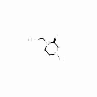 [CH2-][NH+]1CCN(CC)C(=O)C1